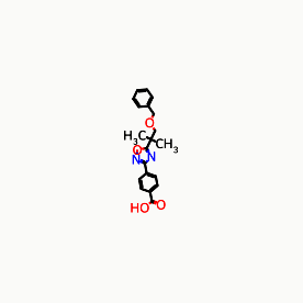 CC(C)(COCc1ccccc1)c1nc(-c2ccc(C(=O)O)cc2)no1